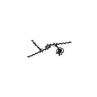 CCCCCCCCCCN(CCCCCCCCCC)CCCN1CCN(CCCN(CCCCCCCCCC)CCCOP(=O)(OCC)OCC)CC1